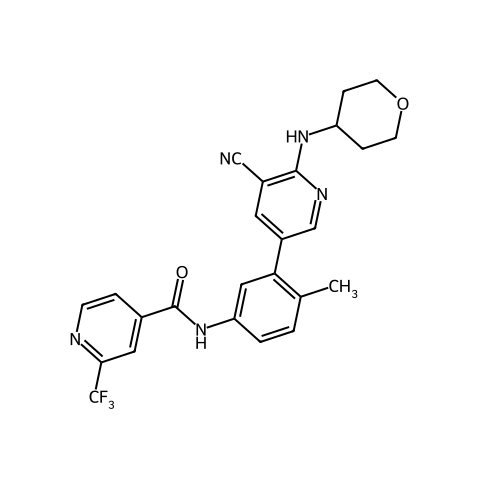 Cc1ccc(NC(=O)c2ccnc(C(F)(F)F)c2)cc1-c1cnc(NC2CCOCC2)c(C#N)c1